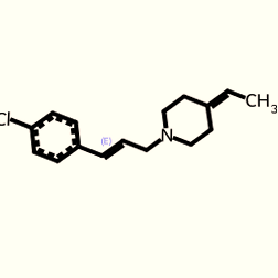 CC=C1CCN(C/C=C/c2ccc(Cl)cc2)CC1